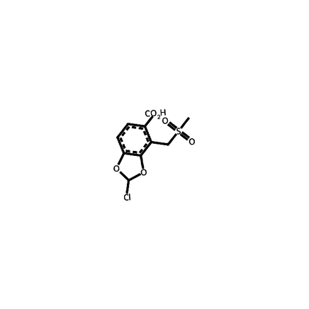 CS(=O)(=O)Cc1c(C(=O)O)ccc2c1OC(Cl)O2